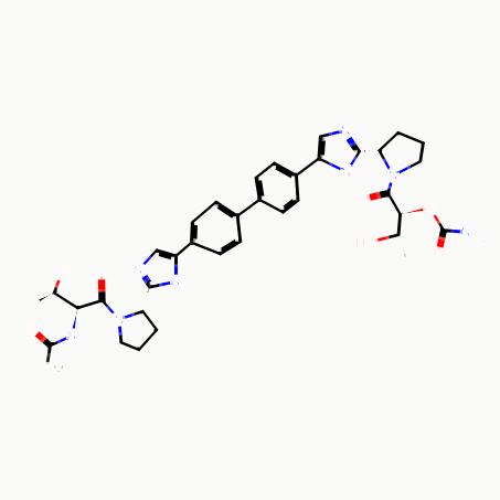 COC(=O)N[C@H](C(=O)N1CCC[C@H]1c1ncc(-c2ccc(-c3ccc(-c4cnc([C@@H]5CCCN5C(=O)[C@@H](OC(N)=O)[C@H](C)O)[nH]4)cc3)cc2)[nH]1)[C@@H](C)O